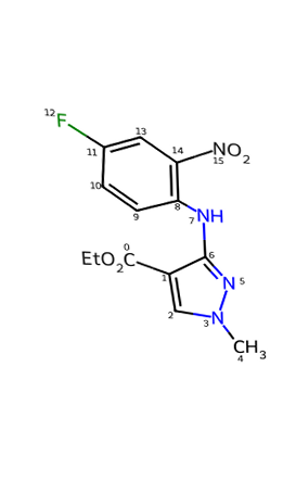 CCOC(=O)c1cn(C)nc1Nc1ccc(F)cc1[N+](=O)[O-]